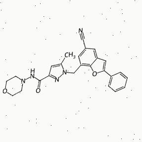 Cc1cc(C(=O)NN2CCOCC2)nn1Cc1cc(C#N)cc2cc(-c3ccccc3)oc12